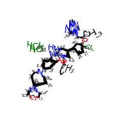 COc1cc(N2CCC(N3CCOCC3)CC2)ccc1Nc1ncc(-c2ccc(Cl)c(O[C@@H](C)Cn3cnnn3)c2)cn1.Cl.Cl